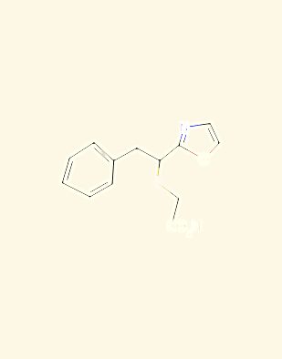 O=C(O)CSC(Cc1ccccc1)c1ncco1